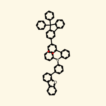 c1ccc(N(c2cccc(-c3cccc4c3oc3ccccc34)c2)c2ccccc2-c2cccc(-c3ccc4c(c3)-c3ccccc3C4(c3ccccc3)c3ccccc3)c2)cc1